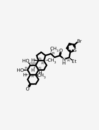 CC[C@@H](NC(=O)C[C@@H](C)C1CC[C@H]2[C@@H]3[C@H](O)[C@H](O)[C@@H]4CC(=O)CC[C@]4(C)[C@H]3CC[C@]12C)c1ccc(Br)s1